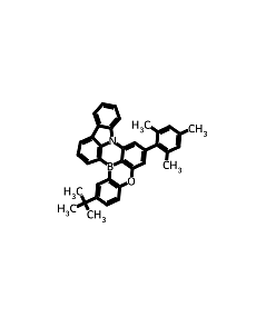 Cc1cc(C)c(-c2cc3c4c(c2)-n2c5ccccc5c5cccc(c52)B4c2cc(C(C)(C)C)ccc2O3)c(C)c1